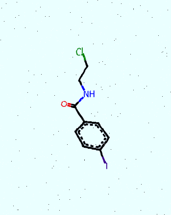 O=C(NCCCl)c1ccc(I)cc1